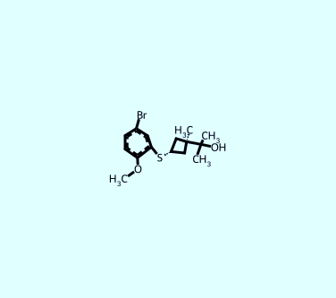 COc1ccc(Br)cc1S[C@H]1C[C@](C)(C(C)(C)O)C1